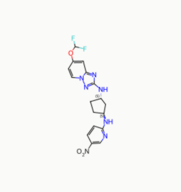 O=[N+]([O-])c1ccc(N[C@H]2CC[C@H](Nc3nc4cc(OC(F)F)ccn4n3)C2)nc1